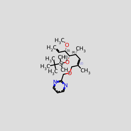 C=C[C@H](OC)[C@@H](O[Si](C)(C)C(C)(C)C)[C@H](C)/C=C(/C)COCc1ncccn1